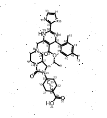 CCOC(=O)C1=C(CN2CCN3C(=O)N(C45CCC(C(=O)O)(CC4)CC5)CC3C2)NC(c2nccs2)=NC1c1ccc(F)cc1C